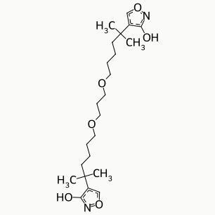 CC(C)(CCCCOCCCOCCCCC(C)(C)c1conc1O)c1conc1O